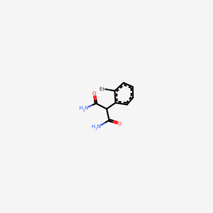 CCc1ccccc1C(C(N)=O)C(N)=O